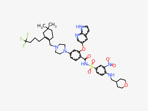 CC1(C)CCC(CN2CCN(c3ccc(C(=O)NS(=O)(=O)c4ccc(NCC5CCOCC5)c([N+](=O)[O-])c4)c(Oc4cnc5[nH]ccc5c4)c3)CC2)=C(CCCC(F)(F)F)C1